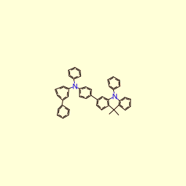 CC1(C)c2ccccc2N(c2ccccc2)c2cc(-c3ccc(N(c4ccccc4)c4cccc(-c5ccccc5)c4)cc3)ccc21